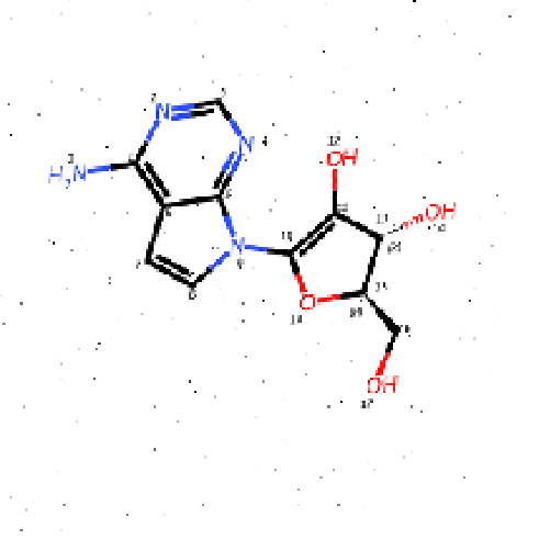 Nc1ncnc2c1ccn2C1=C(O)[C@H](O)[C@@H](CO)O1